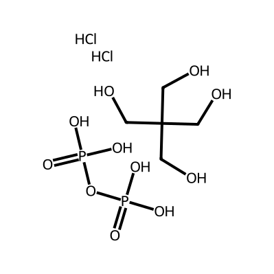 Cl.Cl.O=P(O)(O)OP(=O)(O)O.OCC(CO)(CO)CO